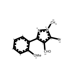 COc1ccccc1-c1nn(C)c(Br)c1C=O